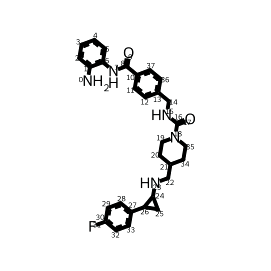 Nc1ccccc1NC(=O)c1ccc(CNC(=O)N2CCC(CNC3CC3c3ccc(F)cc3)CC2)cc1